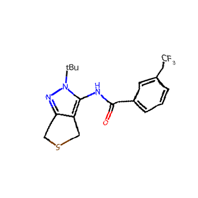 CC(C)(C)n1nc2c(c1NC(=O)c1cccc(C(F)(F)F)c1)CSC2